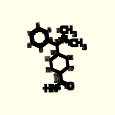 CN(C)C(c1ccccc1)C1CCC(C([NH])=O)CC1